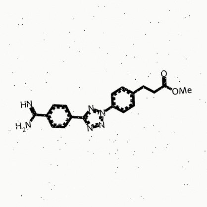 COC(=O)CCc1ccc(-n2nnc(-c3ccc(C(=N)N)cc3)n2)cc1